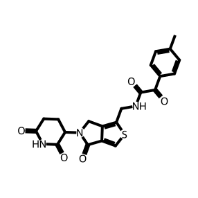 Cc1ccc(C(=O)C(=O)NCc2scc3c2CN(C2CCC(=O)NC2=O)C3=O)cc1